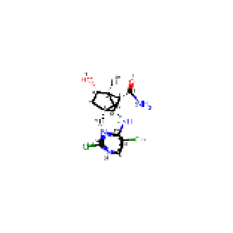 NC(=O)[C@H]1[C@H]2C[C@H](C[C@@H]2O)[C@H]1Nc1nc(Cl)ncc1F